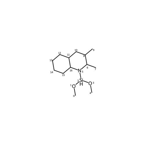 CO[SiH](OC)N1C(C)C(C)CC2CCCCC21